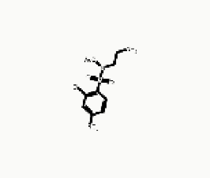 CC(=O)ON(CCN)S(=O)(=O)c1ccc([N+](=O)[O-])cc1Cl